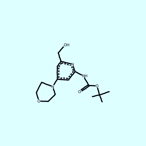 CC(C)(C)OC(=O)Nc1cc(N2CCOCC2)cc(CO)n1